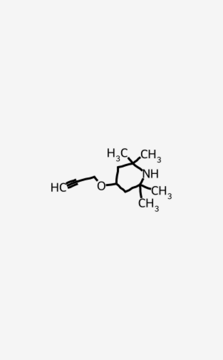 C#CCOC1CC(C)(C)NC(C)(C)C1